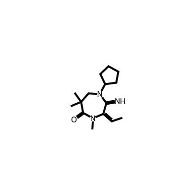 C/C=C1\C(=N)N(C2CCCC2)CC(C)(C)C(=O)N1C